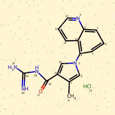 Cc1cn(-c2cccc3ncccc23)cc1C(=O)NC(=N)N.Cl